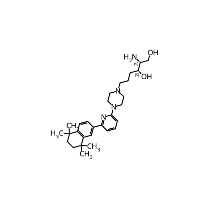 CC1(C)CCC(C)(C)c2cc(-c3cccc(N4CCN(CCC[C@H](O)[C@@H](N)CO)CC4)n3)ccc21